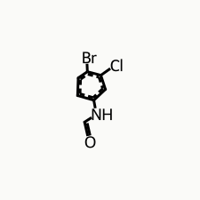 O=CNc1ccc(Br)c(Cl)c1